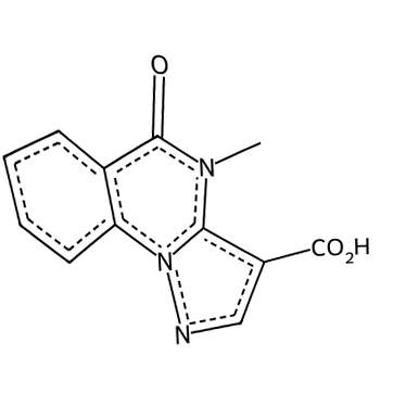 Cn1c(=O)c2ccccc2n2ncc(C(=O)O)c12